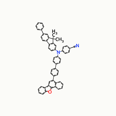 CC1(C)c2cc(-c3ccccc3)ccc2-c2ccc(N(c3ccc(C#N)cc3)c3ccc(-c4ccc(-c5cc6c7ccccc7oc6c6ccccc56)cc4)cc3)cc21